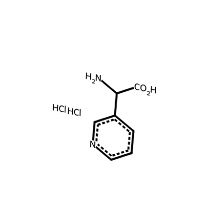 Cl.Cl.NC(C(=O)O)c1cccnc1